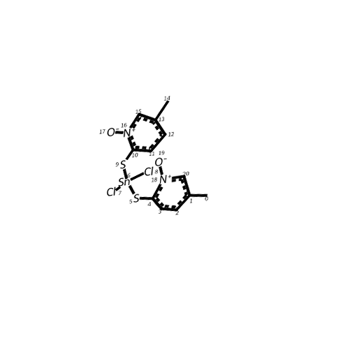 Cc1ccc([S][Sn]([Cl])([Cl])[S]c2ccc(C)c[n+]2[O-])[n+]([O-])c1